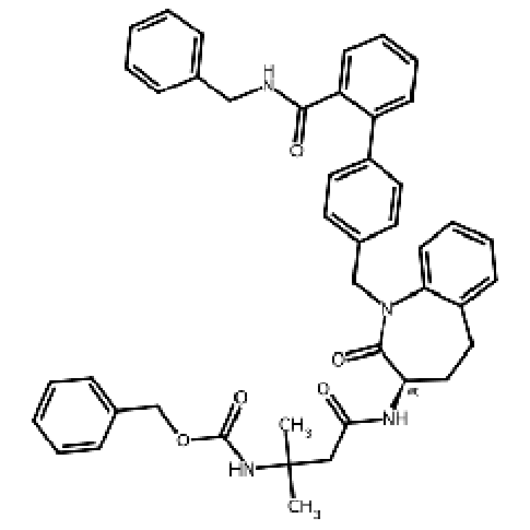 CC(C)(CC(=O)N[C@@H]1CCc2ccccc2N(Cc2ccc(-c3ccccc3C(=O)NCc3ccccc3)cc2)C1=O)NC(=O)OCc1ccccc1